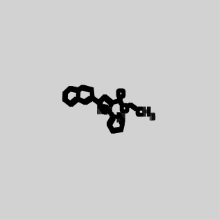 CCOC(=O)c1cc(-c2ccc3ccccc3c2)nn1-c1ccccn1